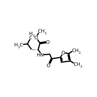 COC(=O)[C@@H](CC(C)C)NCC(=O)c1cc(C)c(C)o1